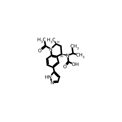 CC(=O)N1c2ccc(-c3ccn[nH]3)cc2[C@H](N(C(=O)O)C(C)C)C[C@@H]1C